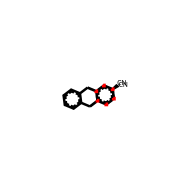 N#Cc1ccc2c(c1)C1c3ccccc3C2c2ccc(C#N)cc21